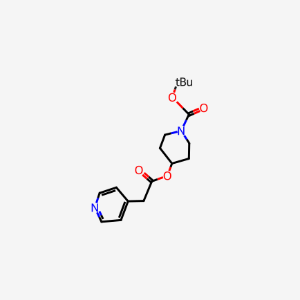 CC(C)(C)OC(=O)N1CCC(OC(=O)Cc2ccncc2)CC1